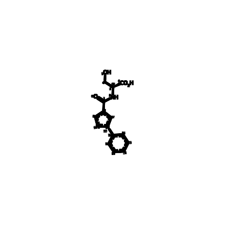 O=C(N[C@@H](CO)C(=O)O)c1cnn(-c2ccccc2)c1